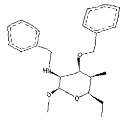 CC[C@H]1O[C@@H](OC)[C@@H](NCc2ccccc2)[C@@H](OCc2ccccc2)[C@H]1C